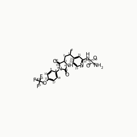 CC(CC1NC(=O)N(c2ccc(OC(F)(F)F)cc2)C1=O)c1ccnc(NS(N)(=O)=O)c1